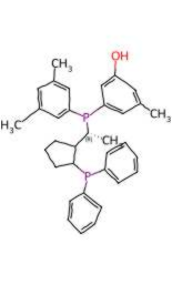 Cc1cc(C)cc(P(c2cc(C)cc(O)c2)[C@H](C)C2CCCC2P(c2ccccc2)c2ccccc2)c1